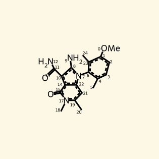 COc1ccc(C)c(-n2c(N)c(C(N)=O)c3c(=O)n(C)c(C)cc32)c1C